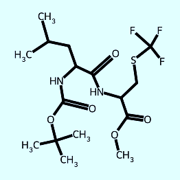 COC(=O)C(CSC(F)(F)F)NC(=O)C(CC(C)C)NC(=O)OC(C)(C)C